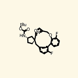 CC(C)(C)OC(=O)N[C@H]1CC[C@@]2(Cc3ccc(F)c(c3)-c3cccc(F)c3OCc3coc2n3)C1